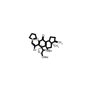 C=C1CCC2C3=C(C(OC(C)=O)C[C@]12C)[C@@](C)(C(C)COC)C(/C(=C\N1CCCC1)C(C)=O)=C(O)C3=O